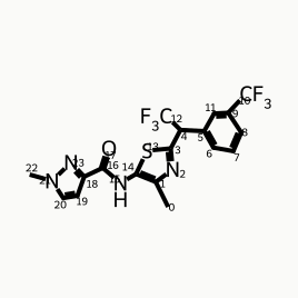 Cc1nc(C(c2cccc(C(F)(F)F)c2)C(F)(F)F)sc1NC(=O)c1ccn(C)n1